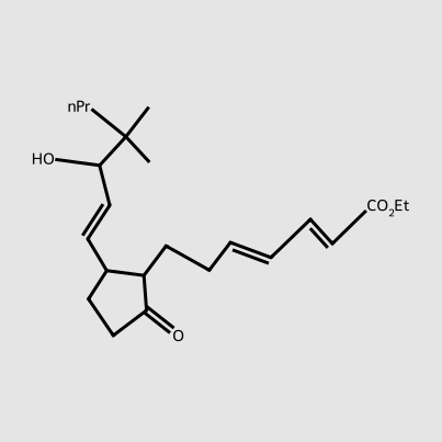 CCCC(C)(C)C(O)/C=C/C1CCC(=O)C1CCC=C/C=C/C(=O)OCC